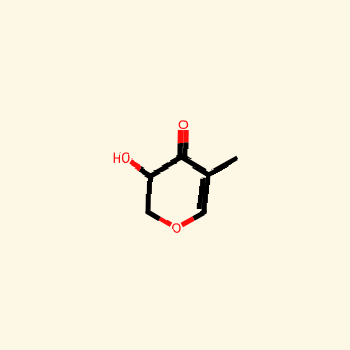 CC1=COCC(O)C1=O